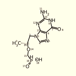 C[C@H](Cn1cnc2c(=O)[nH]c(N)nc21)OC[PH](=O)O